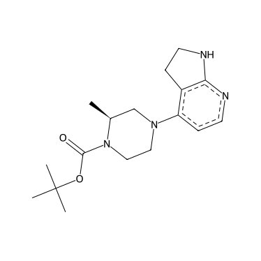 C[C@H]1CN(c2ccnc3c2CCN3)CCN1C(=O)OC(C)(C)C